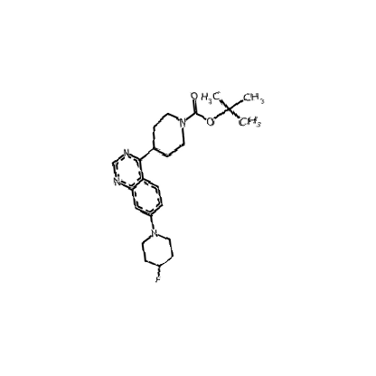 CC(C)(C)OC(=O)N1CCC(c2ncnc3cc(N4CCC(F)CC4)ccc23)CC1